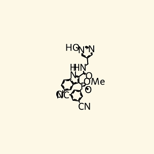 COP(=O)(c1cc(C#N)cc(C#N)c1)c1c(C(=O)NCc2cnc[n+](O)c2)[nH]c2ccc(Cl)cc12